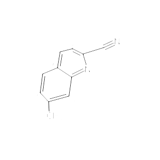 Cc1ccc2ccc(C#N)nc2c1